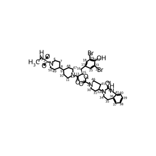 CNS(=O)(=O)N1CCC(C2CCN(C(=O)[C@@H](Cc3cc(Br)c(O)c(Br)c3)OC(=O)N3CCC(N4CCc5ccccc5NC4=O)CC3)CC2)CC1